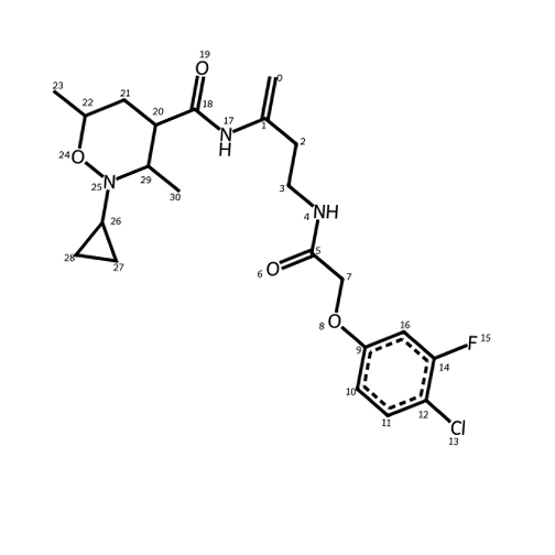 C=C(CCNC(=O)COc1ccc(Cl)c(F)c1)NC(=O)C1CC(C)ON(C2CC2)C1C